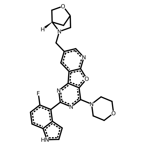 Fc1ccc2[nH]ccc2c1-c1nc(N2CCOCC2)c2oc3ncc(CN4CC5C[C@H]4CO5)cc3c2n1